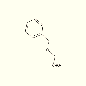 O=[C]COCc1ccccc1